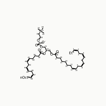 CC/C=C\C/C=C\C/C=C\C/C=C\CCCCCCC(=O)OC[C@H](COP(=O)([O-])OCC[N+](C)(C)C)OC(=O)CCC/C=C\C/C=C\C/C=C\CCCCCCCC